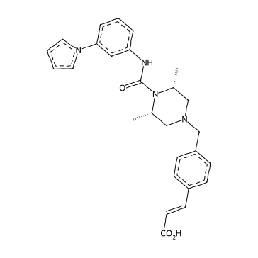 C[C@@H]1CN(Cc2ccc(C=CC(=O)O)cc2)C[C@H](C)N1C(=O)Nc1cccc(-n2cccc2)c1